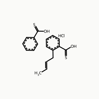 CC=CCc1ccccc1C(O)=S.Cl.OC(=S)c1ccccc1